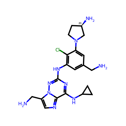 NCc1cc(Nc2nc(NC3CC3)c3ncc(CN)n3n2)c(Cl)c(N2CC[C@@H](N)C2)c1